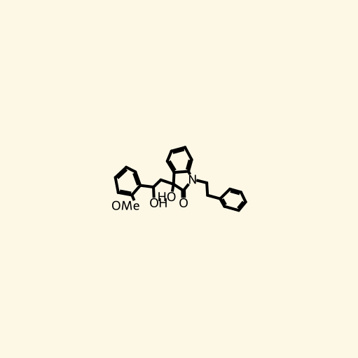 COc1ccccc1C(O)CC1(O)C(=O)N(CCc2ccccc2)c2ccccc21